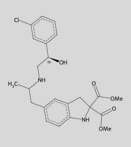 COC(=O)C1(C(=O)OC)Cc2cc(CC(C)NC[C@H](O)c3cccc(Cl)c3)ccc2N1